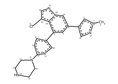 Cn1cc(-c2cc(-c3ccc(N4CCNCC4)nc3)c3c(Cl)cnn3c2)cn1